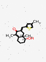 CC1=C2CCC[C@H](O)[C@@]2(C)CC(=Cc2cc(C)cs2)C1=O